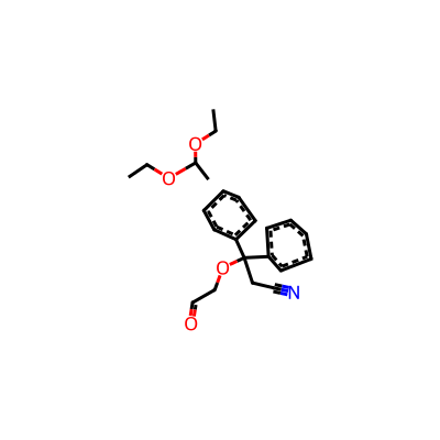 CCOC(C)OCC.N#CCC(OCC=O)(c1ccccc1)c1ccccc1